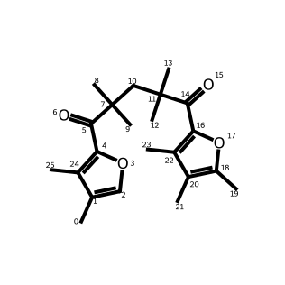 Cc1coc(C(=O)C(C)(C)CC(C)(C)C(=O)c2oc(C)c(C)c2C)c1C